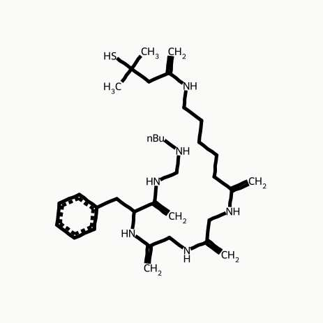 C=C(CCCCCNC(=C)CC(C)(C)S)NCC(=C)NCC(=C)NC(Cc1ccccc1)C(=C)NCNCCCC